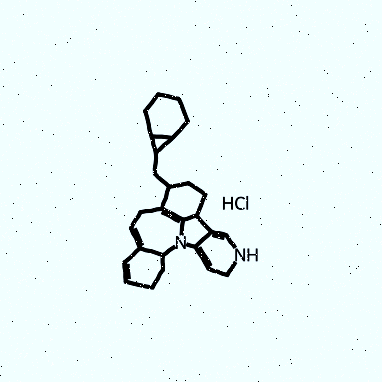 C1=CC2=CCC3=C4C(CCC3CC3C5CCCCC53)C3=CNCC=C3N4C2CC1.Cl